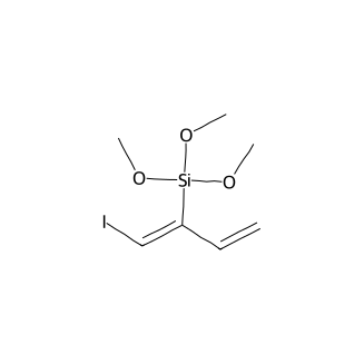 C=CC(=CI)[Si](OC)(OC)OC